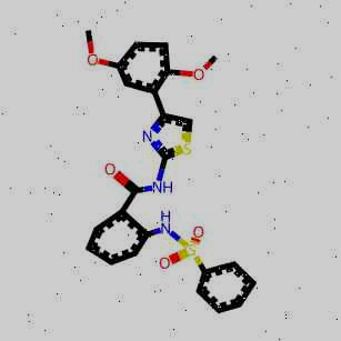 COc1ccc(OC)c(-c2csc(NC(=O)c3ccccc3NS(=O)(=O)c3ccccc3)n2)c1